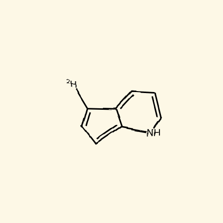 [2H]c1ccc2[nH]cccc1-2